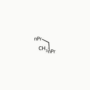 CCCCCCC.[CH3]